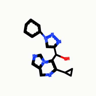 OC(c1cn(-c2ccccc2)nn1)c1c(C2CC2)ncc2cncn12